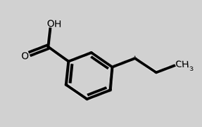 CC[CH]c1cccc(C(=O)O)c1